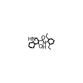 CCc1cccc(CC)c1NC(=O)c1c[nH]c2ccccc2c1=O